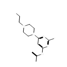 C=C(C)Nc1cc(N2CCN(CCO)CC2)nc(C)n1